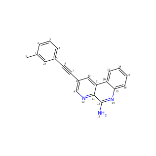 Cc1cccc(C#Cc2cnc3c(N)nc4ccccc4c3c2)c1